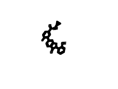 Cc1ccc(C(=O)NC2CC2)cc1-c1ccc2c(c1)CN(c1ccccc1O)C2=O